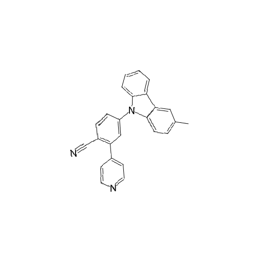 Cc1ccc2c(c1)c1ccccc1n2-c1ccc(C#N)c(-c2ccncc2)c1